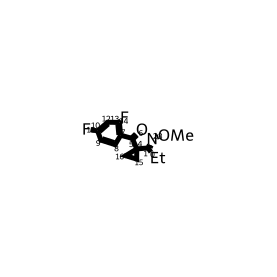 CCC(=NOC)C1(C(=O)c2ccc(F)cc2F)CC1